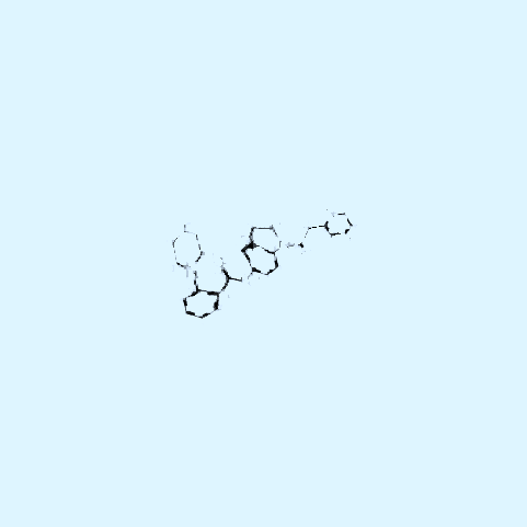 CC1CCN(c2ccccc2C(=O)Nc2ccc3c(c2)CCN3C(=O)Cc2ccccn2)CC1